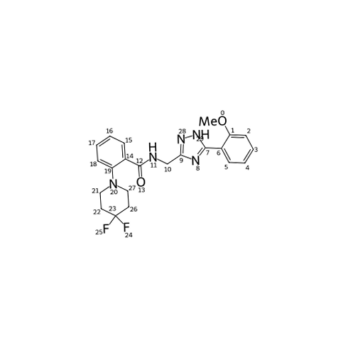 COc1ccccc1-c1nc(CNC(=O)c2ccccc2N2CCC(F)(F)CC2)n[nH]1